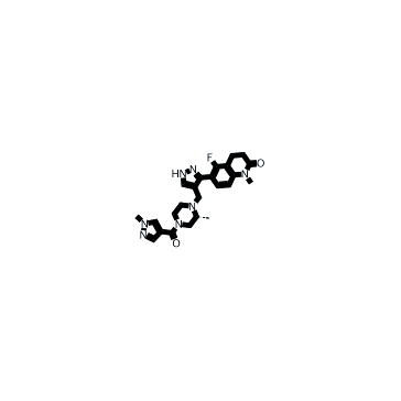 C[C@@H]1CN(C(=O)c2cnn(C)c2)CCN1Cc1c[nH]nc1-c1ccc2c(c1F)CCC(=O)N2C